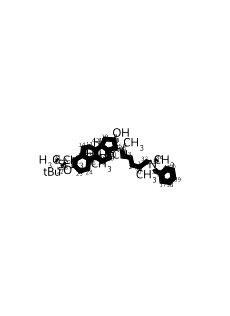 C[C@H](CCC[C@@H](C)[C@H]1[C@@H](O)C[C@H]2[C@@H]3CC=C4C[C@@H](O[Si](C)(C)C(C)(C)C)CC[C@]4(C)[C@H]3CC[C@]12C)CN(C)Cc1ccccc1